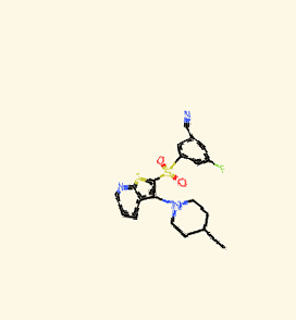 CC1CCN(c2c(S(=O)(=O)c3cc(F)cc(C#N)c3)sc3ncccc23)CC1